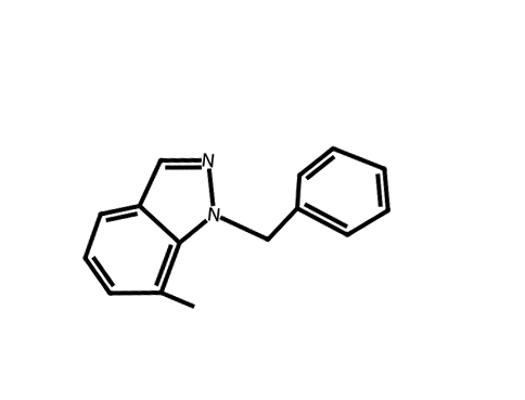 Cc1cccc2cnn(Cc3ccccc3)c12